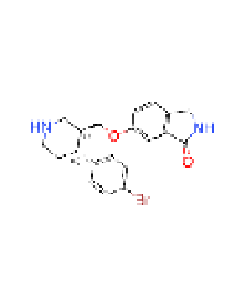 O=C1NCc2ccc(OC[C@@H]3CNCC[C@H]3c3ccc(Br)cc3)cc21